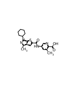 Cc1cc(NC(=O)c2cc3c(C)nn(C4CCCCC4)c3s2)cnc1C(=O)O